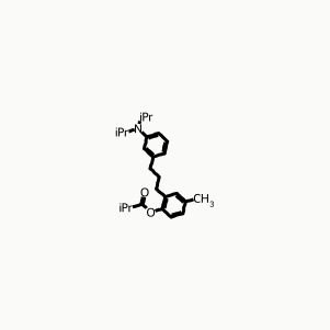 Cc1ccc(OC(=O)C(C)C)c(CCCc2cccc(N(C(C)C)C(C)C)c2)c1